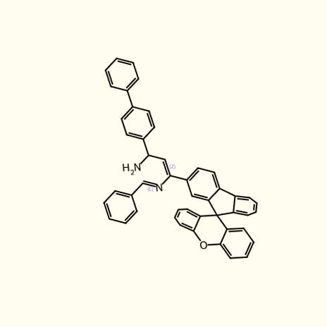 NC(/C=C(\N=C\c1ccccc1)c1ccc2c(c1)C1(c3ccccc3Oc3ccccc31)c1ccccc1-2)c1ccc(-c2ccccc2)cc1